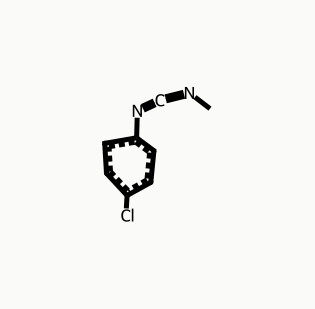 CN=C=Nc1ccc(Cl)cc1